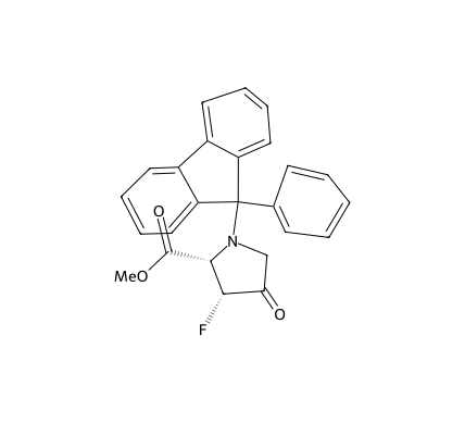 COC(=O)[C@H]1[C@@H](F)C(=O)CN1C1(c2ccccc2)c2ccccc2-c2ccccc21